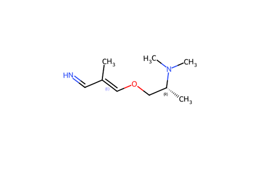 C/C(C=N)=C\OC[C@@H](C)N(C)C